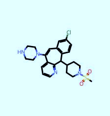 CS(=O)(=O)N1CCC(C2c3ccc(Cl)cc3C=C(N3CCNCC3)c3cccnc32)CC1